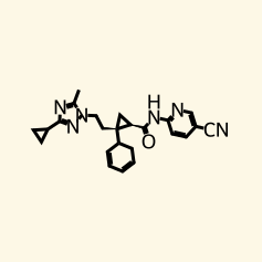 Cc1nc(C2CC2)nn1CC[C@@]1(C2C=CC=CC2)C[C@H]1C(=O)Nc1ccc(C#N)cn1